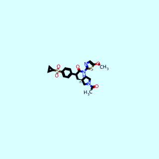 COc1cnc(NC(=O)C(C[C@H]2CCN(C(C)=O)C2)c2ccc(S(=O)(=O)C3CC3)cc2)s1